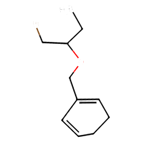 BCC(CBr)OCC1=CCCC=C1